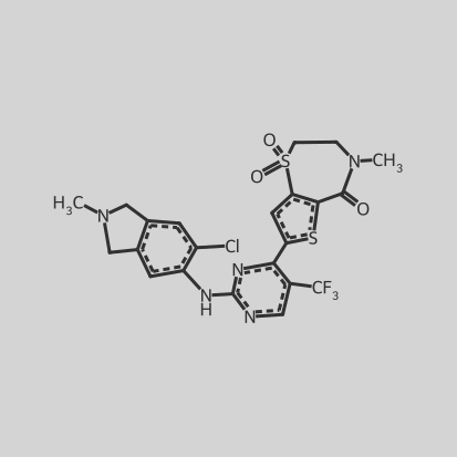 CN1Cc2cc(Cl)c(Nc3ncc(C(F)(F)F)c(-c4cc5c(s4)C(=O)N(C)CCS5(=O)=O)n3)cc2C1